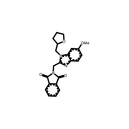 COc1ccc2nc(CN3C(=O)c4ccccc4C3=O)n(CC3CCCO3)c2c1